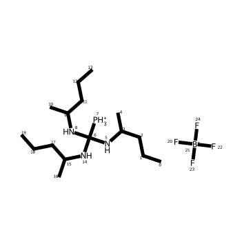 CCCC(C)NC([PH3+])(NC(C)CCC)NC(C)CCC.F[B-](F)(F)F